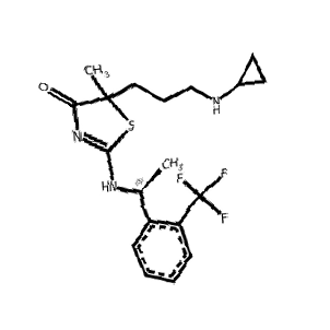 C[C@H](NC1=NC(=O)C(C)(CCCNC2CC2)S1)c1ccccc1C(F)(F)F